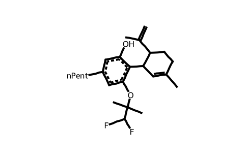 C=C(C)C1CCC(C)=CC1c1c(O)cc(CCCCC)cc1OC(C)(C)C(F)F